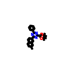 Cc1ccc2ccc(-c3nc(B4OC(C)(C)C(C)(C)O4)nc(-c4ccccc4)n3)cc2c1